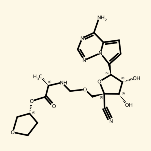 C[C@H](NCOC[C@@]1(C#N)O[C@@H](c2ccc3c(N)ncnn23)[C@H](O)[C@@H]1O)C(=O)O[C@@H]1CCOC1